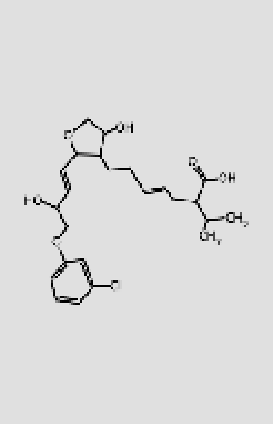 CC(C)C(C/C=C/CCC1C(O)COC1/C=C/C(O)COc1cccc(Cl)c1)C(=O)O